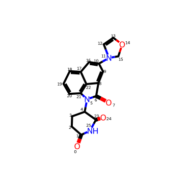 O=C1CCC(N2C(=O)c3cc(N4C=COC4)cc4cccc2c34)C(=O)N1